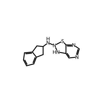 c1ccc2c(c1)CC(NN1Nc3cncnc3S1)C2